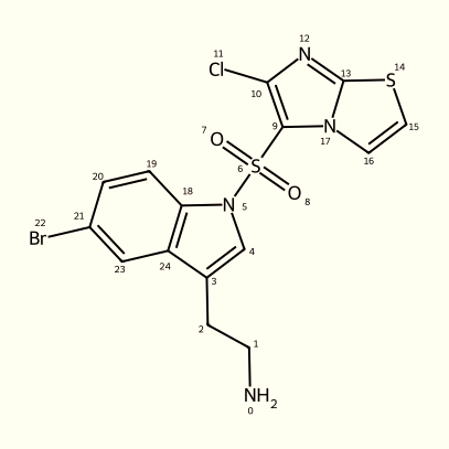 NCCc1cn(S(=O)(=O)c2c(Cl)nc3sccn23)c2ccc(Br)cc12